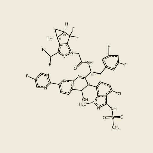 Cn1nc(NS(C)(=O)=O)c2c(Cl)ccc(N3C([C@H](Cc4cc(F)cc(F)c4)NC(=O)Cn4nc(C(F)F)c5c4C(F)(F)[C@@H]4C[C@H]54)=Nc4cc(-c5ncc(F)cn5)ccc4C3O)c21